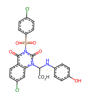 O=C(O)C(Nc1ccc(O)cc1)n1c(=O)n(S(=O)(=O)c2ccc(Cl)cc2)c(=O)c2ccc(Cl)cc21